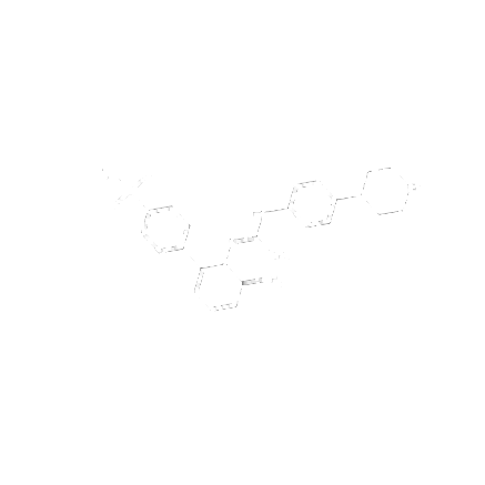 C=C1C=CC=C(c2ccc(S(C)(=O)=O)cc2)N1/N=C(\C)Nc1ccc(C2CCNCC2)cc1